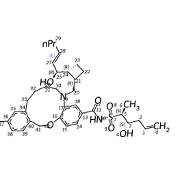 C=CC[C@H](O)[C@H](C)S(=O)(=O)NC(=O)c1ccc2c(c1)N(C[C@@H]1CC[C@H]1[C@@H](O)/C=C/CCC)CCCCc1cc(Cl)ccc1CO2